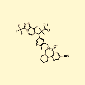 Cc1ncc(C(c2ccn3c(C(F)(F)F)nnc3c2C)C(C)(C)C(=O)O)cc1CN1CC2CCCCN2c2ncc(C#N)cc2[S+]1[O-]